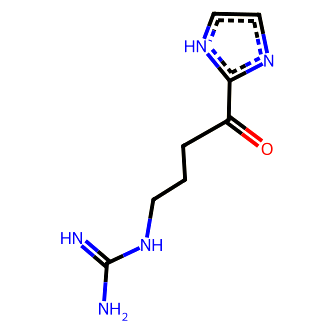 N=C(N)NCCCC(=O)c1ncc[nH]1